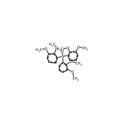 COc1cccc([Si](Cl)(c2cccc(OC)c2OC)c2cccc(OC)c2OC)c1OC